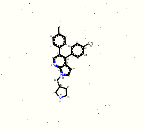 Cc1ccc(-c2cnc3c(ccn3CC3CCNC3)c2-c2ccc(C#N)cc2)cc1